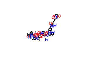 CC[C@H](C)[C@@H]([C@@H](CC(=O)N1CCCC1[C@H](OC)[C@@H](C)C(=O)NC(Cc1ccccc1)C(=O)Nc1ccc(CNC(=O)CCCCCN2C(=O)C=CC2=O)cc1)OC)N(C)C(=O)C(NC(=O)[C@@H]1[C@H]2CC[C@H](C2)N1C(C)=O)C(C)C